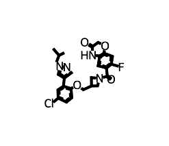 CC(C)Cn1cc(-c2cc(Cl)ccc2OCC2CN(C(=O)c3cc4c(cc3F)OCC(=O)N4)C2)cn1